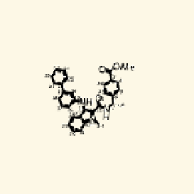 COC(=O)c1ccc([C@H](C)NC(=O)c2c(Nc3cccc(-c4ccccc4)c3)c3ccccc3n2C)cc1